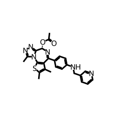 CC(=O)O[C@@H]1N=C(c2ccc(NCc3cccnc3)cc2)c2c(sc(C)c2C)-n2c(C)nnc21